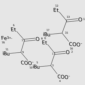 CCC(=O)C(C(=O)[O-])C(C)CC.CCC(=O)C(C(=O)[O-])C(C)CC.CCC(=O)C(C(=O)[O-])C(C)CC.[Fe+3]